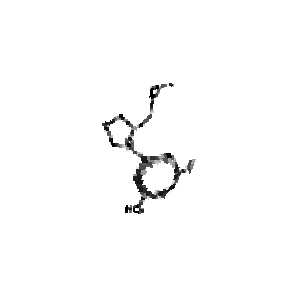 COCC1CCCN1c1cc(O)cc(F)c1